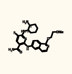 COCCOc1nccc2cc(Nc3nc(N[C@@H]4CCCC[C@@H]4N)c(F)cc3C(N)=O)ccc12